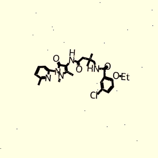 CCOc1ccc(Cl)cc1C(=O)NCC(C)(C)CC(=O)Nc1c(C)n(C)n(-c2cccc(C)n2)c1=O